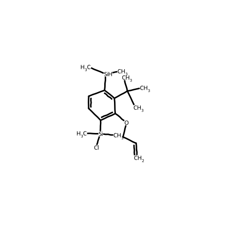 C=CCOc1c([Si](C)(C)Cl)ccc([SiH](C)C)c1C(C)(C)C